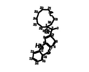 BC1(C(C)c2ccc3c(c2)Nc2ccccc2S3)CCCCCCCCC1